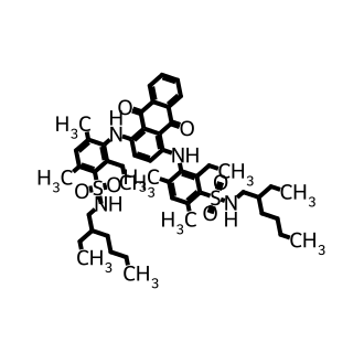 CCCCC(CC)CNS(=O)(=O)c1c(C)cc(C)c(Nc2ccc(Nc3c(C)cc(C)c(S(=O)(=O)NCC(CC)CCCC)c3CC)c3c2C(=O)c2ccccc2C3=O)c1CC